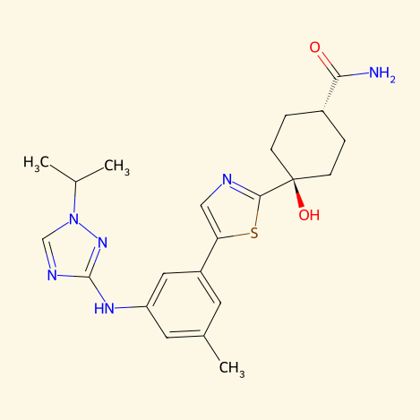 Cc1cc(Nc2ncn(C(C)C)n2)cc(-c2cnc([C@]3(O)CC[C@H](C(N)=O)CC3)s2)c1